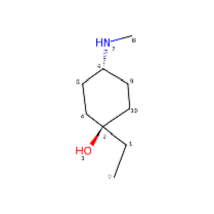 CC[C@]1(O)CC[C@H](NC)CC1